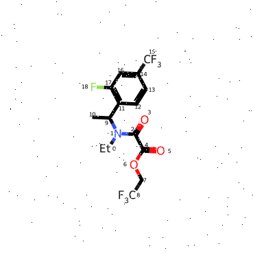 CCN(C(=O)C(=O)OCC(F)(F)F)C(C)c1ccc(C(F)(F)F)cc1F